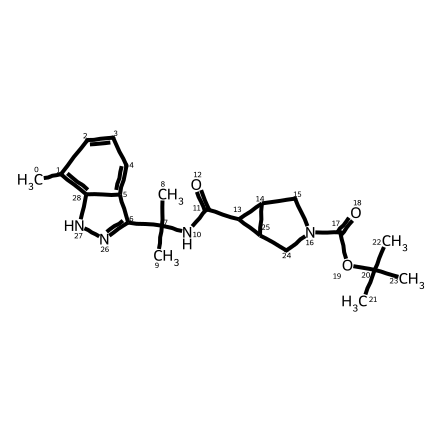 Cc1cccc2c(C(C)(C)NC(=O)C3C4CN(C(=O)OC(C)(C)C)CC43)n[nH]c12